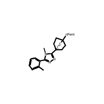 CCCCCC12CCC(c3nnc(-c4ccccc4C)n3C)(CC1)CC2